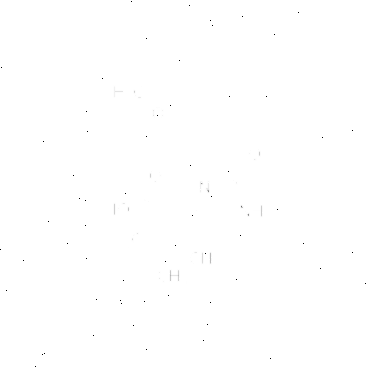 COc1ccccc1CN1C(=O)NCC1[C@@H](C(=O)O)C(C)(C)C